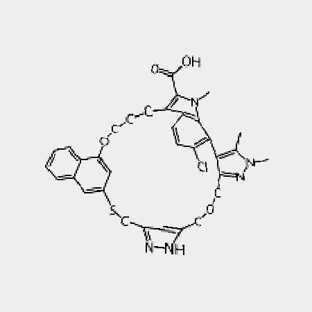 Cc1c2c(nn1C)COCc1cc(n[nH]1)CSc1cc(c3ccccc3c1)OCCCc1c(C(=O)O)n(C)c3c-2c(Cl)ccc13